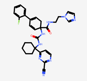 N#Cc1nccc(C2(NC(=O)NC3(C(=O)NCCn4ccnc4)C=CC(c4ccccc4F)=CC3)CCCCC2)n1